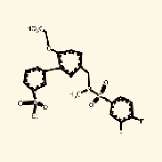 CCS(=O)(=O)c1cccc(-c2cc(CN(C)S(=O)(=O)c3ccc(F)c(F)c3)ccc2OCC(=O)O)c1